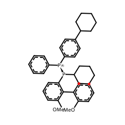 COc1ccc[c]c1-c1c(OC)cccc1P(C1CCCCC1)[P@@](c1ccccc1)c1ccc(C2CCCCC2)cc1